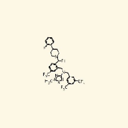 CCC(c1ccc(C(F)(F)F)cc1CN(Cc1cc(C(F)(F)F)cc(C(F)(F)F)c1)c1nnn(C)n1)N1CCC(c2ccccc2F)CC1